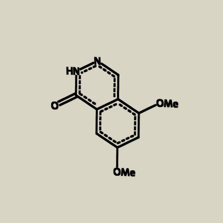 COc1cc(OC)c2cn[nH]c(=O)c2c1